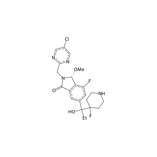 CCC(O)(c1cc(F)c2c(c1)C(=O)N(Cc1ncc(Cl)cn1)[C@@H]2OC)C1(F)CCNCC1